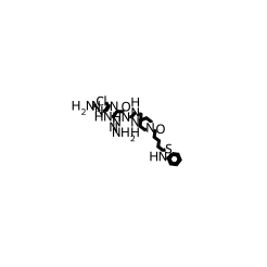 NN=NC1=C(Cl)N=C(C(=O)NC2NCC3(CCN(C(=O)CCCC4Nc5ccccc5S4)CC3)N2)C(N=NN)N1